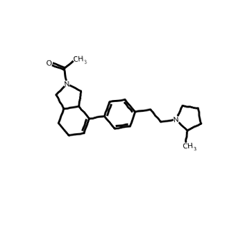 CC(=O)N1CC2CCC=C(c3ccc(CCN4CCCC4C)cc3)C2C1